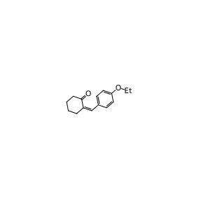 CCOc1ccc(/C=C2/CCCCC2=O)cc1